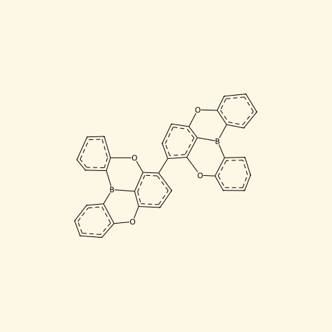 c1ccc2c(c1)Oc1ccc(-c3ccc4c5c3Oc3ccccc3B5c3ccccc3O4)c3c1B2c1ccccc1O3